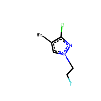 CC(C)c1cn(CCF)nc1Cl